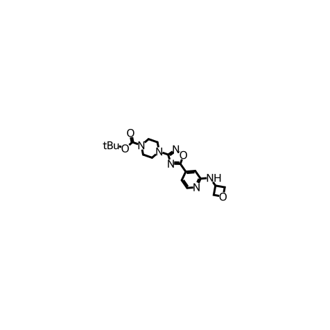 CC(C)(C)OC(=O)N1CCN(c2noc(-c3ccnc(NC4COC4)c3)n2)CC1